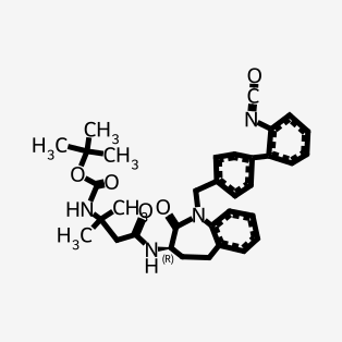 CC(C)(CC(=O)N[C@@H]1CCc2ccccc2N(Cc2ccc(-c3ccccc3N=C=O)cc2)C1=O)NC(=O)OC(C)(C)C